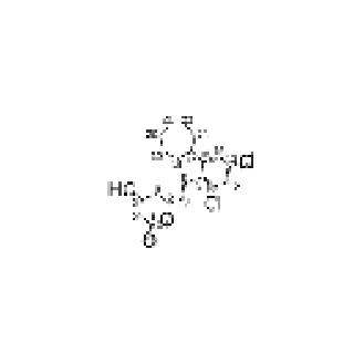 O=C1CC(O)CC(C=Cc2c(Cl)cc(Cl)cc2C2CCCCCC2)O1